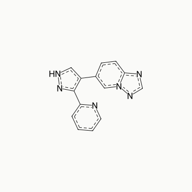 c1ccc(-c2n[nH]cc2-c2ccc3ncnn3c2)nc1